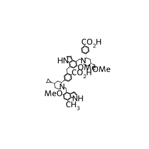 COC[C@H]1CCN(Cc2c(OC)cc(Cc3cc([C@@H]4C[C@H](C5CC5)CCN4Cc4c(OC)cc(C)c5[nH]ccc45)ccc3C(=O)O)c3[nH]ccc23)[C@H](c2ccc(C(=O)O)cc2)C1